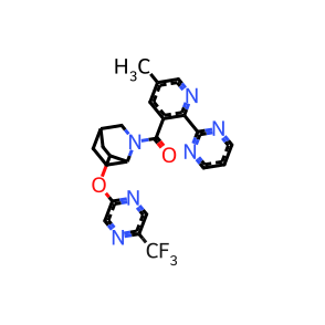 Cc1cnc(-c2ncccn2)c(C(=O)N2CC3CCC2C(Oc2cnc(C(F)(F)F)cn2)C3)c1